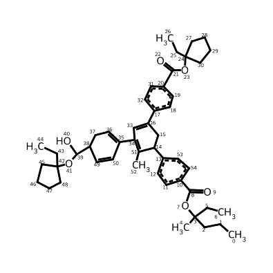 CCCC(C)(CC)OC(=O)c1ccc(C2CC(c3ccc(C(=O)OC4(CC)CCCC4)cc3)=CC(C3=CCC(C(O)OC4(CC)CCCC4)C=C3)=C2C)cc1